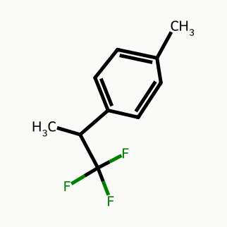 Cc1ccc(C(C)C(F)(F)F)cc1